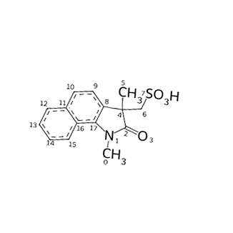 CN1C(=O)C(C)(CS(=O)(=O)O)c2ccc3ccccc3c21